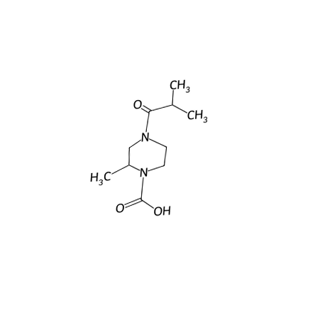 CC(C)C(=O)N1CCN(C(=O)O)C(C)C1